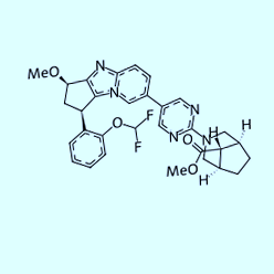 COC(=O)[C@@H]1[C@@H]2CC[C@H]1CN(c1ncc(-c3ccc4nc5c(n4c3)[C@@H](c3ccccc3OC(F)F)C[C@H]5OC)cn1)C2